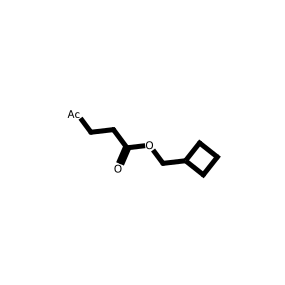 CC(=O)CCC(=O)OCC1CCC1